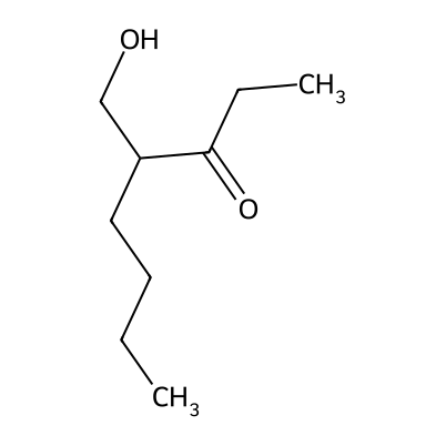 CCCCC(CO)C(=O)CC